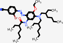 CCCCC(CC)CN(CC(CC)CCCC)c1cc(NC(=O)C(CC)CCCC)c(N=Nc2ccc(C#N)cc2Br)cc1OCC